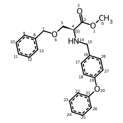 COC(=O)[C@H](COCc1ccccc1)NCc1ccc(Oc2ccccc2)cc1